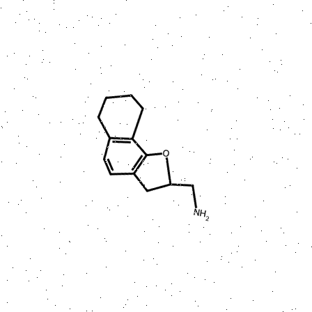 NCC1Cc2ccc3c(c2O1)CCCC3